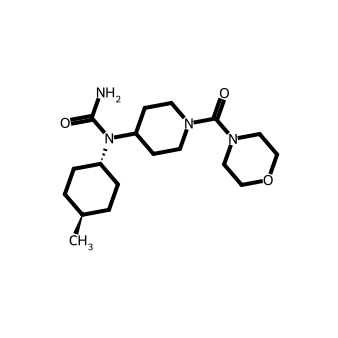 C[C@H]1CC[C@H](N(C(N)=O)C2CCN(C(=O)N3CCOCC3)CC2)CC1